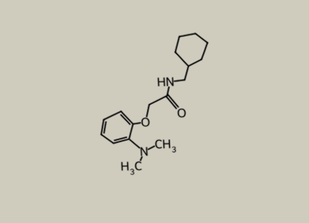 CN(C)c1ccccc1OCC(=O)NCC1CCCCC1